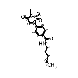 COCCCNC(=O)c1ccc(N2CC(=O)NS2(=O)=O)cc1